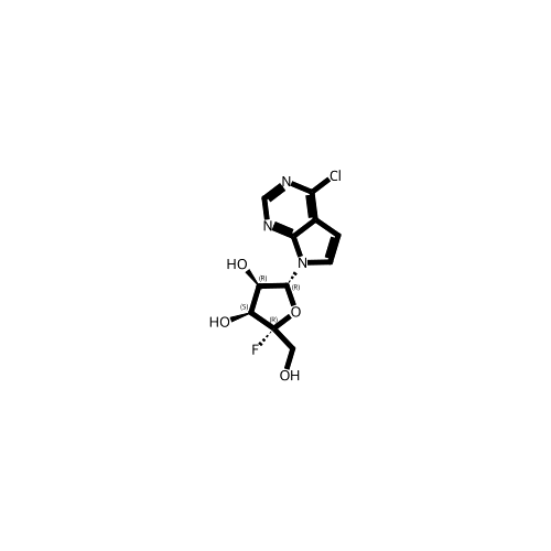 OC[C@]1(F)O[C@@H](n2ccc3c(Cl)ncnc32)[C@H](O)[C@@H]1O